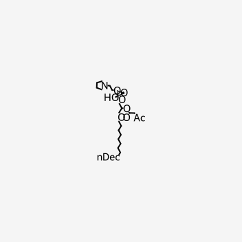 CCCCCCCCCCCCCCCCCCOCC(COP(=O)(O)OCCN1CCCC1)OC(=O)CC(C)=O